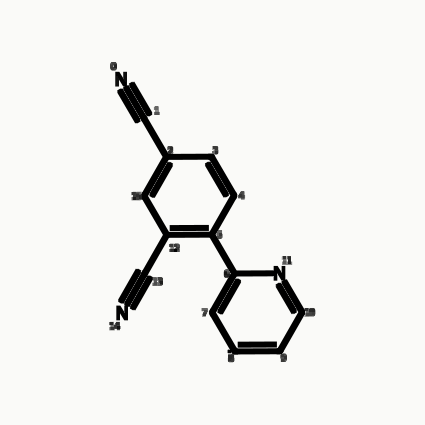 N#Cc1ccc(-c2c[c]ccn2)c(C#N)c1